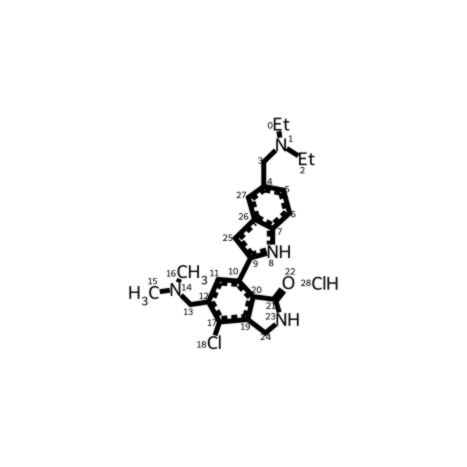 CCN(CC)Cc1ccc2[nH]c(-c3cc(CN(C)C)c(Cl)c4c3C(=O)NC4)cc2c1.Cl